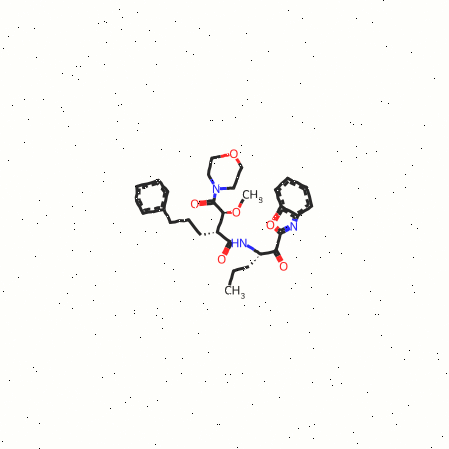 CCC[C@H](NC(=O)[C@H](CCCc1ccccc1)[C@H](OC)C(=O)N1CCOCC1)C(=O)c1nc2ccccc2o1